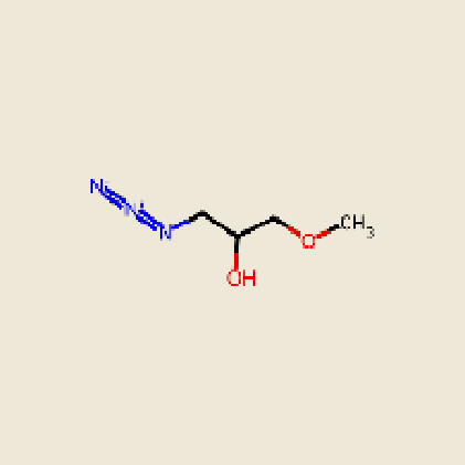 COCC(O)CN=[N+]=[N-]